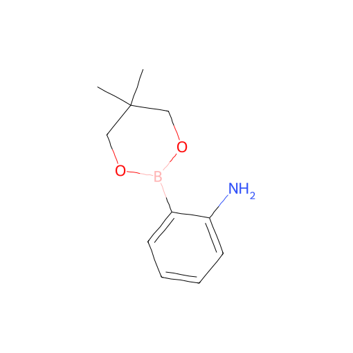 CC1(C)COB(c2ccccc2N)OC1